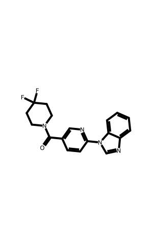 O=C(c1ccc(-n2cnc3ccccc32)nc1)N1CCC(F)(F)CC1